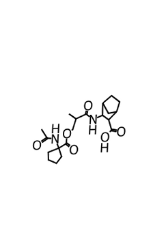 CC(=O)NC1(C(=O)OCC(C)C(=O)NC2C3CCC(C3)C2C(=O)O)CCCC1